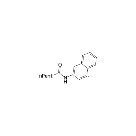 CCCCCC(=O)Nc1c[c]c2ccccc2c1